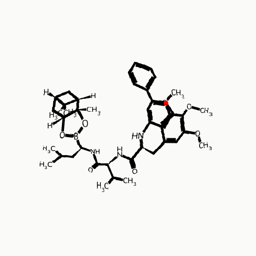 COc1cc(C[C@H](Nc2cccc(-c3ccccc3)c2)C(=O)N[C@H](C(=O)N[C@@H](CC(C)C)B2O[C@@H]3C[C@@H]4C[C@@H](C4(C)C)[C@]3(C)O2)C(C)C)cc(OC)c1OC